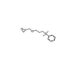 C[Si](C)(CCCOCC1CO1)c1ccccc1